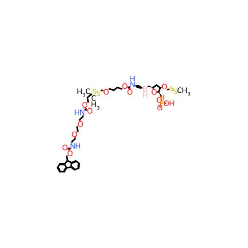 CSSCOC1C[C@H](CBC#CNC(=O)OCCCCOCSSC(C)(C)CCOC(=O)NCCOCCOCCNC(=O)OCC2c3ccccc3-c3ccccc32)O[C@@H]1CO[PH](=O)O